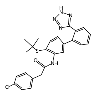 CC(C)(C)Sc1ccc(-c2ccccc2-c2nn[nH]n2)cc1NC(=O)Cc1ccc(Cl)cc1